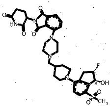 CS(=O)(=O)c1ccc(N2CCC(CN3CCN(c4cccc5c4C(=O)N(C4CCC(=O)NC4=O)C5=O)CC3)CC2)c2c1[C@H](O)[C@@H](F)C2